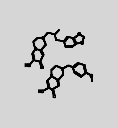 CC(Cc1ccc2c(c1)OCO2)CN1CCn2cc(O)c(=O)cc2C1.COc1ccc(CN2CCn3cc(O)c(=O)cc3C2)cc1